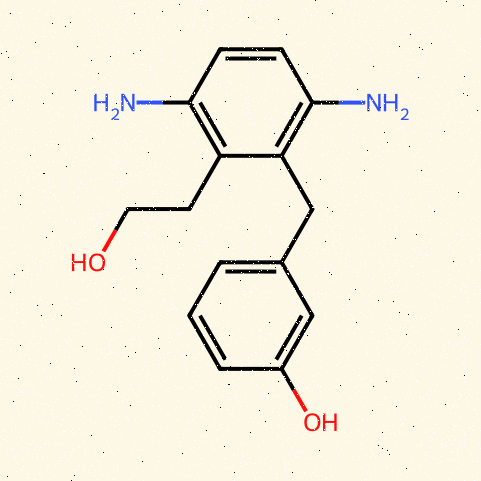 Nc1ccc(N)c(Cc2cccc(O)c2)c1CCO